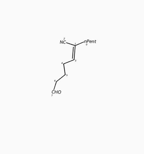 CCCCCC(C#N)=CCCCC=O